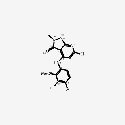 COc1c(Nc2cc(Cl)nc3[nH]n(C)c(=O)c23)ccc(F)c1F